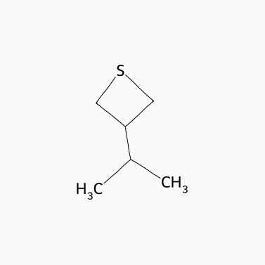 CC(C)C1CSC1